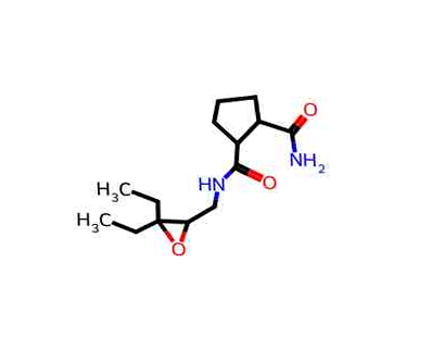 CCC1(CC)OC1CNC(=O)C1CCCC1C(N)=O